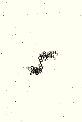 COC(=O)N[C@H](C(=O)N1CCC[C@H]1c1nc2ccc3cc(-c4ccc5c(ccc6nc([C@@H]7[C@H]8CC[C@H](C8)N7C(=O)[C@H](NC(=O)C7CC7)c7cccc(C8CCCC8)c7)[nH]c65)c4)ccc3c2[nH]1)C(C)C